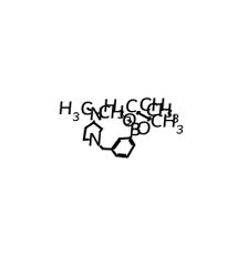 CN(C)C1CCN(Cc2cccc(B3OC(C)(C)C(C)(C)O3)c2)C1